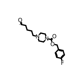 O=[C]CCCCN1CCN(C(=O)OCc2ccc(F)cc2)CC1